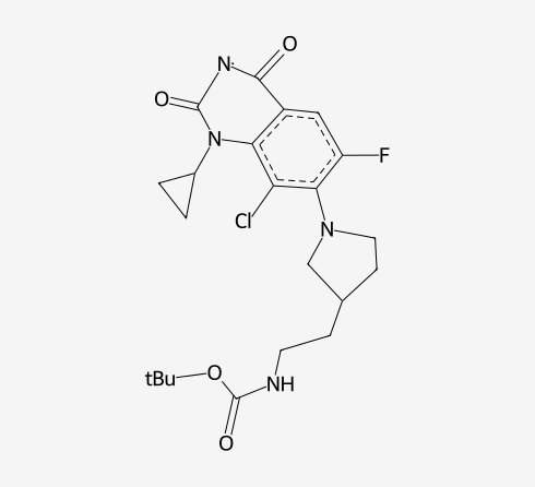 CC(C)(C)OC(=O)NCCC1CCN(c2c(F)cc3c(c2Cl)N(C2CC2)C(=O)[N]C3=O)C1